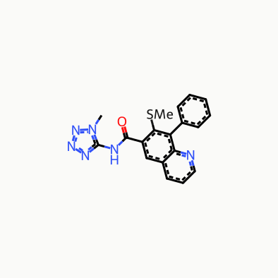 CSc1c(C(=O)Nc2nnnn2C)cc2cccnc2c1-c1ccccc1